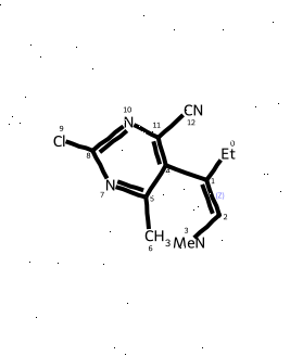 CC/C(=C/NC)c1c(C)nc(Cl)nc1C#N